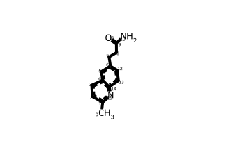 Cc1ccc2cc(CCC(N)=O)ccc2n1